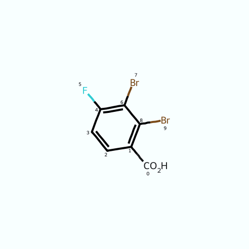 O=C(O)c1ccc(F)c(Br)c1Br